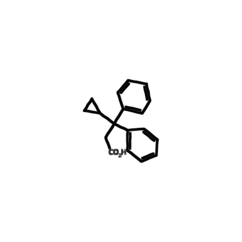 O=C(O)CC(c1ccccc1)(c1ccccc1)C1CC1